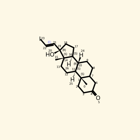 C[C@]12CCC(=O)CC1CC[C@@H]1[C@@H]2CC[C@@]2(C)[C@H]1CC[C@@]2(O)/C=C/I